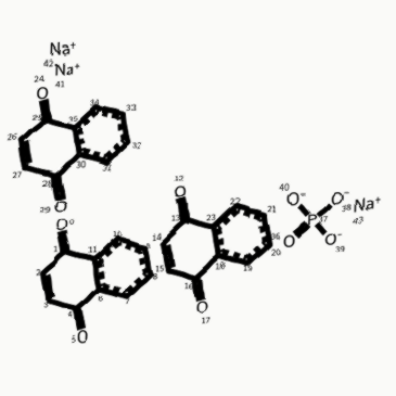 O=C1C=CC(=O)c2ccccc21.O=C1C=CC(=O)c2ccccc21.O=C1C=CC(=O)c2ccccc21.O=P([O-])([O-])[O-].[Na+].[Na+].[Na+]